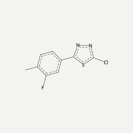 Cc1ccc(-c2nnc(Cl)s2)cc1F